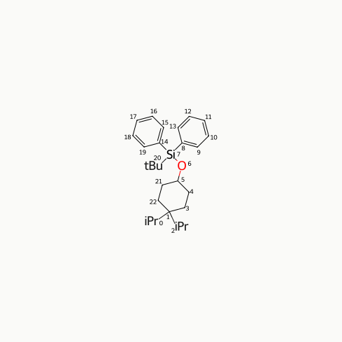 CC(C)C1(C(C)C)CCC(O[Si](c2ccccc2)(c2ccccc2)C(C)(C)C)CC1